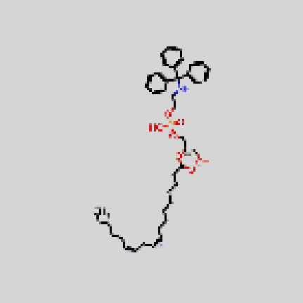 CCCCC/C=C\C/C=C\CCCCCCCC(=O)O[C@@H](CO)COP(=O)(O)OCCNC(c1ccccc1)(c1ccccc1)c1ccccc1